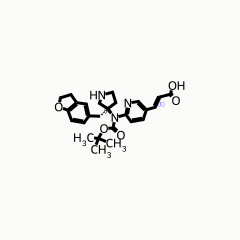 CC(C)(C)OC(=O)N(c1ccc(/C=C/C(=O)O)cn1)[C@]1(Cc2ccc3c(c2)CCO3)CCNC1